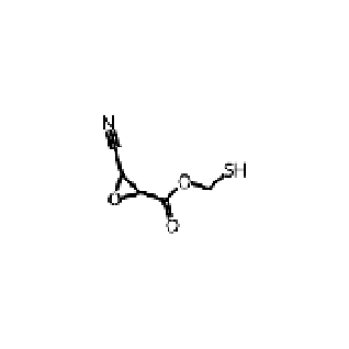 N#CC1OC1C(=O)OCS